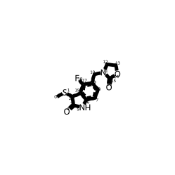 CSC1C(=O)Nc2ccc(CN3CCOC3=O)c(F)c21